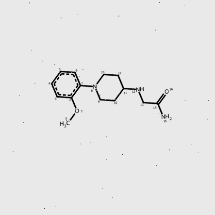 COc1ccccc1N1CCC(NCC(N)=O)CC1